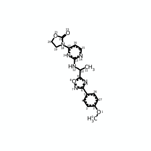 COc1ccc(-c2noc(C(C)Nc3nccc(N4CCOC4=O)n3)n2)cc1